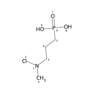 CN(Cl)CCCP(=O)(O)O